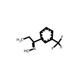 CCC(=NO)c1cccc(C(F)(F)F)c1